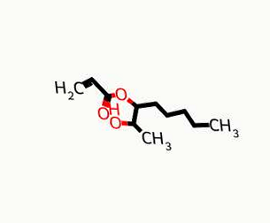 C=CC(=O)OC(CCCCC)C(C)O